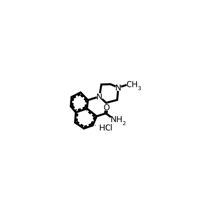 CN1CCN(c2cccc3cc[c]c(C(N)=O)c23)CC1.Cl